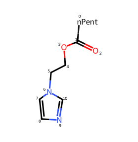 CCCCCC(=O)OCCn1ccnc1